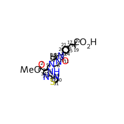 COC(=O)C1=C(CN2CCN3C(=O)N(c4ccc(/C=C(\C)C(=O)O)cc4)C[C@@H]3C2)NC(c2nccs2)=NC1